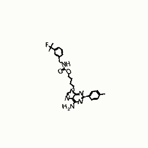 Cc1ccc(-c2nc(N)c3ncn(CCCCOC(=O)NCc4cccc(C(C)(C)F)c4)c3n2)cc1